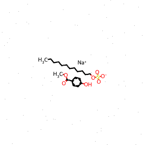 CCCCCCCCCCCCOS(=O)(=O)[O-].COC(=O)c1ccc(O)cc1.[Na+]